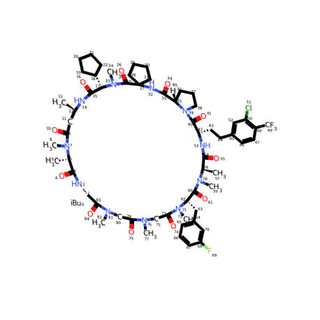 CC[C@H](C)[C@@H]1NC(=O)[C@H](C)N(C)C(=O)C[C@@H](C)NC(=O)[C@H](C2CCCC2)N(C)C(=O)C2(CCCC2)NC(=O)[C@@H]2CCCN2C(=O)[C@H](CCc2ccc(C(F)(F)F)c(Cl)c2)NC(=O)[C@@H](C)N(C)C(=O)[C@H](Cc2cccc(F)c2)N(C)C(=O)CN(C)C(=O)CN(C)C1=O